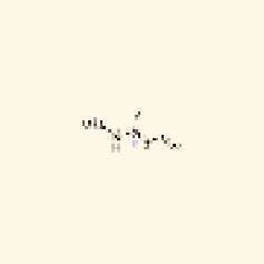 C=C/C=C(\C)NNC